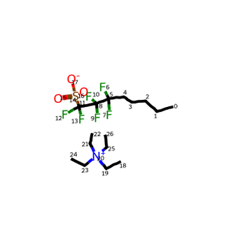 CCCCCC(F)(F)C(F)(F)C(F)(F)S(=O)(=O)[O-].CC[N+](CC)(CC)CC